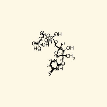 CC1(F)[C@@H](O)[C@@](F)(COP(=O)(O)OP(=O)(O)OP(=O)(O)O)O[C@H]1n1ccc(=S)[nH]c1=O